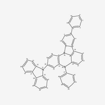 c1ccc(-c2ccc3c(c2)-c2cccc4c2B3c2ccc(-n3c5ccccc5c5ccccc53)cc2N4c2ccccc2)cc1